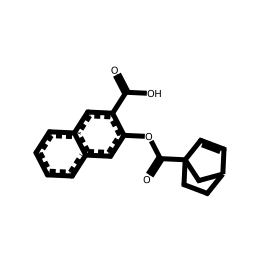 O=C(O)c1cc2ccccc2cc1OC(=O)C12C=CC(CC1)C2